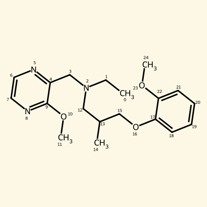 CCN(Cc1nccnc1OC)CC(C)COc1ccccc1OC